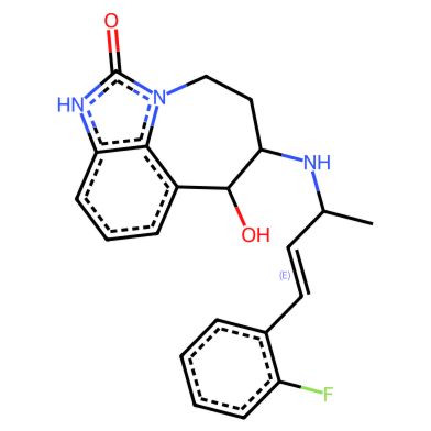 CC(/C=C/c1ccccc1F)NC1CCn2c(=O)[nH]c3cccc(c32)C1O